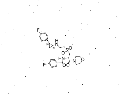 O=C(NC(CS(=O)(=O)CCN[C@@H]1C[C@H]1c1ccc(F)cc1)C(=O)N1CCOCC1)c1ccc(F)cc1